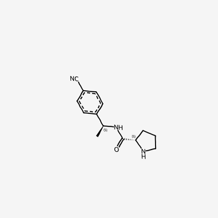 C[C@H](NC(=O)[C@@H]1CCCN1)c1ccc(C#N)cc1